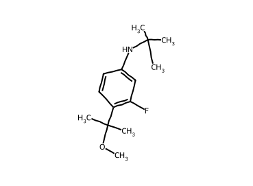 COC(C)(C)c1ccc(NC(C)(C)C)cc1F